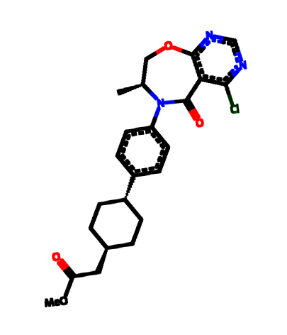 COC(=O)C[C@H]1CC[C@H](c2ccc(N3C(=O)c4c(Cl)ncnc4OC[C@@H]3C)cc2)CC1